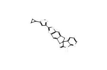 O=C1Nc2ncccc2C12Cc1cc3nc(-c4cc(C5CC5)on4)[nH]c3cc1C2